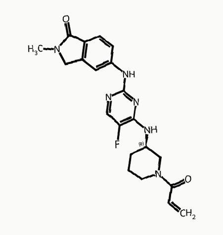 C=CC(=O)N1CCC[C@@H](Nc2nc(Nc3ccc4c(c3)CN(C)C4=O)ncc2F)C1